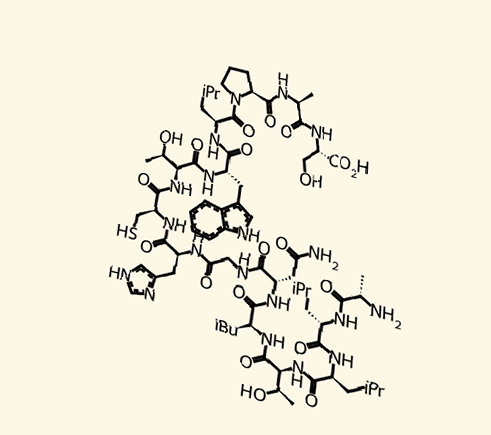 CC[C@H](C)[C@H](NC(=O)[C@@H](NC(=O)[C@H](CC(C)C)NC(=O)[C@H](CC(C)C)NC(=O)[C@H](C)N)[C@@H](C)O)C(=O)N[C@@H](CC(N)=O)C(=O)NCC(=O)N[C@@H](Cc1c[nH]cn1)C(=O)N[C@@H](CS)C(=O)N[C@H](C(=O)N[C@@H](Cc1c[nH]c2ccccc12)C(=O)N[C@@H](CC(C)C)C(=O)N1CCC[C@H]1C(=O)N[C@@H](C)C(=O)N[C@@H](CO)C(=O)O)[C@@H](C)O